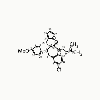 COc1ccc([C@H]2Cc3cc(Cl)ccc3N(CCN(C)C)C(=O)[C@H]2Cc2ccco2)cc1